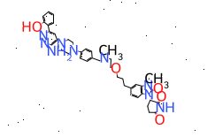 CN(CCOCCCc1ccc2c(c1)n(C)c(=O)n2C1CCC(=O)NC1=O)Cc1ccc(N2CCN(c3cc(-c4ccccc4O)nnc3N)CC2)cc1